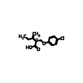 C=C(CC)[C@@H](COc1ccc(Cl)cc1)C(=O)O